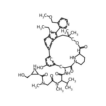 CCn1c(-c2cnccc2COC)c2c3cc(ccc31)-c1cc(O)cc(c1)C[C@H](NC(=O)C(C(C)C)N(C)C(=O)CN(C)C(=O)[C@@H]1N[C@@H]1CO)C(=O)N1CCC[C@H](N1)C(=O)OCC(C)(C)C2